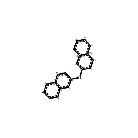 [c]1c(Oc2[c]c3ccccc3cc2)ccc2ccccc12